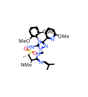 C=N/C(=N\C=C(C)C)[C@@H](NC)[C@H](C)S(=O)(=O)Nc1nnc(-c2cccc(OC)n2)n1-c1c(OC)cccc1OC